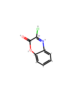 O=c1oc2ccccc2nc1Cl